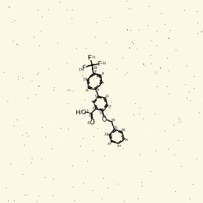 O=C(O)c1cc(-c2ccc(C(F)(F)F)cc2)ccc1OCc1ccccc1